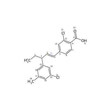 CCC(/C=C/c1ccc(C(=O)O)c(Cl)c1)c1cc(C)cc(Cl)c1